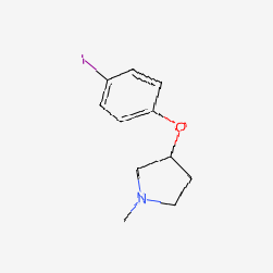 CN1CCC(Oc2ccc(I)cc2)C1